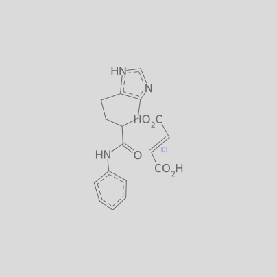 O=C(Nc1ccccc1)C1CCc2[nH]cnc2C1.O=C(O)/C=C/C(=O)O